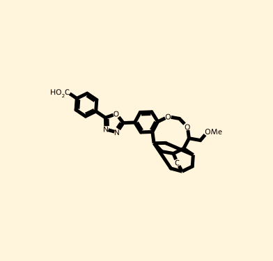 COCC1OCOc2ccc(-c3nnc(-c4ccc(C(=O)O)cc4)o3)cc2C23CC4CC(C2)C1C(C4)C3